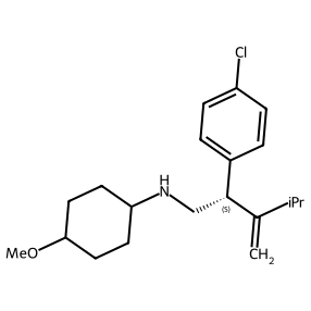 C=C(C(C)C)[C@H](CNC1CCC(OC)CC1)c1ccc(Cl)cc1